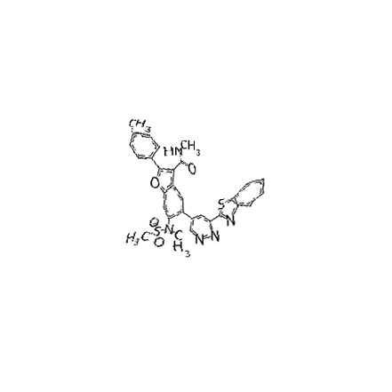 CNC(=O)c1c(-c2ccc(C)cc2)oc2cc(N(C)S(C)(=O)=O)c(-c3cnnc(-c4nc5ccccc5s4)c3)cc12